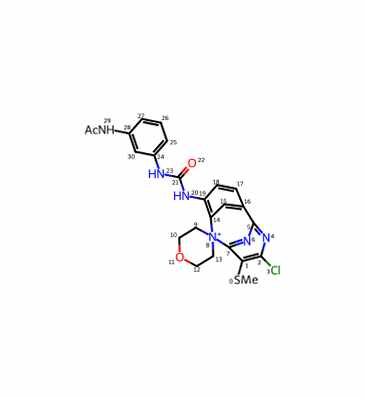 CSc1c(Cl)nc2nc1[N+]1(CCOCC1)c1cc-2ccc1NC(=O)Nc1cccc(NC(C)=O)c1